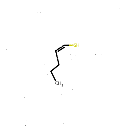 CCC/C=C\S